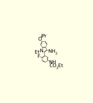 CCOC(=O)Nc1ccc(F)c(-c2c(N)c3ccc(OC(C)C)cc3n2CC)c1